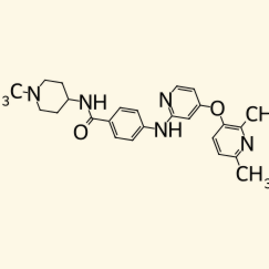 Cc1ccc(Oc2ccnc(Nc3ccc(C(=O)NC4CCN(C)CC4)cc3)c2)c(C)n1